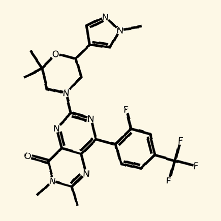 Cc1nc2c(-c3ccc(C(F)(F)F)cc3F)nc(N3CC(c4cnn(C)c4)OC(C)(C)C3)nc2c(=O)n1C